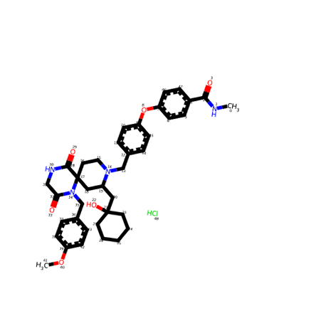 CNC(=O)c1ccc(Oc2ccc(CN3CCC4(CC3CC3(O)CCCCC3)C(=O)NCC(=O)N4Cc3ccc(OC)cc3)cc2)cc1.Cl